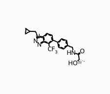 C[C@H](O)C(=O)NCc1ccc(-c2ccc3c(nnn3CC3CC3)c2C(F)(F)F)cc1